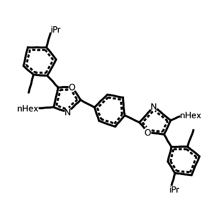 CCCCCCc1nc(-c2ccc(-c3nc(CCCCCC)c(-c4cc(C(C)C)ccc4C)o3)cc2)oc1-c1cc(C(C)C)ccc1C